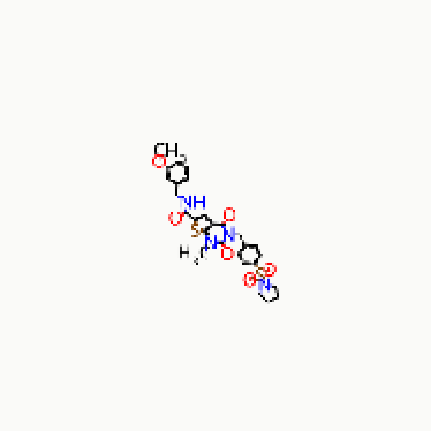 COc1cccc(CNC(=O)c2cc3c(=O)n(Cc4ccc(S(=O)(=O)N5CCCC5)cc4)c(=O)n(C)c3s2)c1